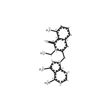 CCn1c(Cn2nc(C)c3c(N)ncnc32)cc2cccc(C)c2c1=O